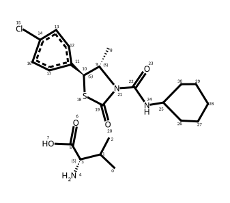 CC(C)[C@H](N)C(=O)O.C[C@H]1[C@H](c2ccc(Cl)cc2)SC(=O)N1C(=O)NC1CCCCC1